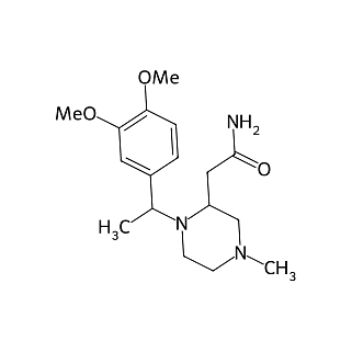 COc1ccc(C(C)N2CCN(C)CC2CC(N)=O)cc1OC